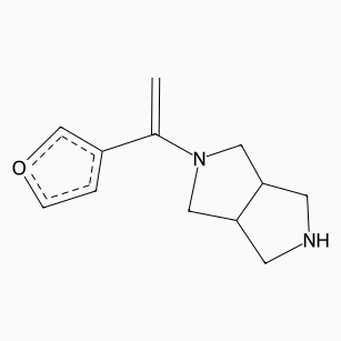 C=C(c1ccoc1)N1CC2CNCC2C1